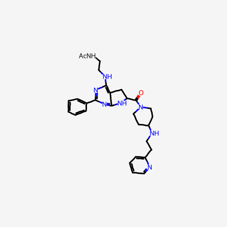 CC(=O)NCCNc1nc(-c2ccccc2)nc2c1CC(C(=O)N1CCC(NCCc3ccccn3)CC1)N2